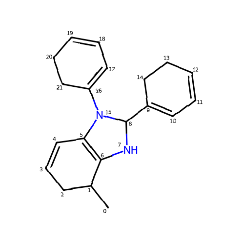 CC1CC=CC2=C1NC(C1=CC=CCC1)N2C1=CC=CCC1